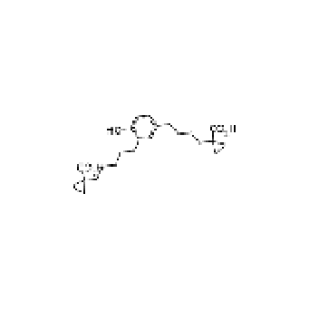 O=C(O)C1(CCCCCc2cc(CCCCC3(C(=O)O)CC3)ccc2O)CC1